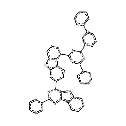 c1ccc(-c2cccc(-c3nc(-c4ccccc4)nc(-c4cccc5oc6cc(-c7nc(-c8ccccc8)nc8c7sc7ccccc78)ccc6c45)n3)c2)cc1